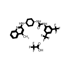 Cc1cc(N[C@H]2CC[C@@H](NC(=O)Nc3cc(C(F)(F)F)cc(C(F)(F)F)c3)CC2)nc2ccccc12.O=C(O)C(F)(F)F